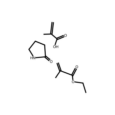 C=C(C)C(=O)O.C=C(C)C(=O)OCC.O=C1CCCN1